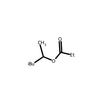 CCC(=O)OC(C)C(C)CC